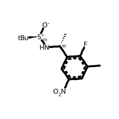 Cc1cc([N+](=O)[O-])cc([C@@H](C)N[S@+]([O-])C(C)(C)C)c1F